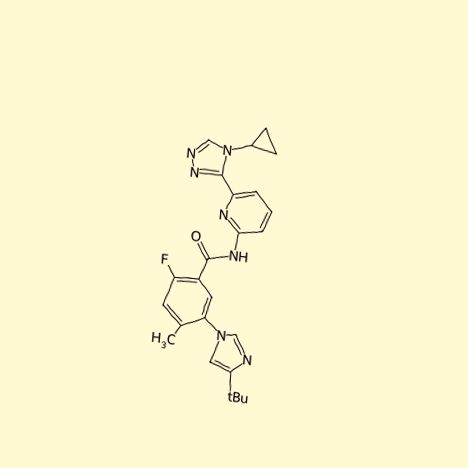 Cc1cc(F)c(C(=O)Nc2cccc(-c3nncn3C3CC3)n2)cc1-n1cnc(C(C)(C)C)c1